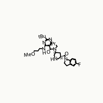 COCCCNc1nc(C(C)(C)C)ncc1C(=O)N(CC(C)C)[C@@H]1CNC[C@H](C(=O)N2CCc3cc(F)ccc32)C1